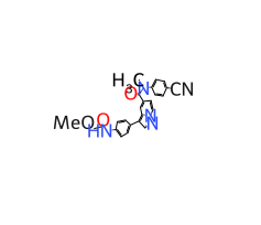 COCC(=O)Nc1ccc(-c2cnn3ccc(C(=O)N(C)c4ccc(C#N)cc4)cc23)cc1